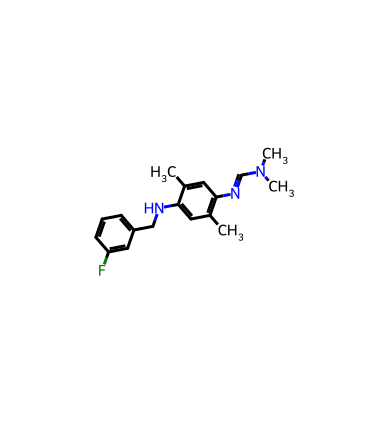 Cc1cc(NCc2cccc(F)c2)c(C)cc1N=CN(C)C